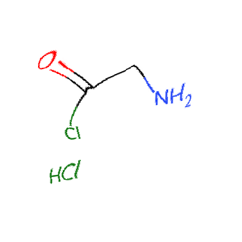 Cl.NCC(=O)Cl